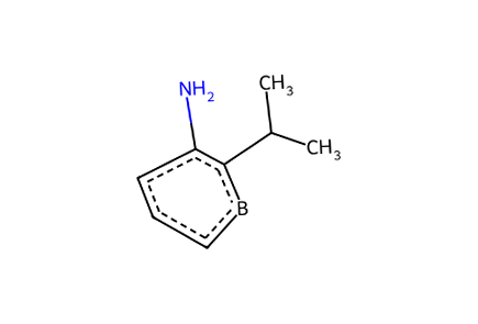 CC(C)c1bcccc1N